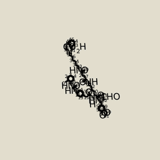 Cc1ccccc1NC(=O)Nc1ccc(CC(=O)N[C@@H](CCCCNC(=O)CCC(=O)NCCCCCCN(CC(=O)O)Cc2ccccn2)C(=O)N[C@@H](CC=O)c2ccc3c(c2)OCO3)cc1